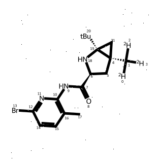 [2H]C([2H])([2H])[C@]12C[C@@H](C(=O)Nc3nc(Br)ccc3C)N[C@@]1(C(C)(C)C)C2